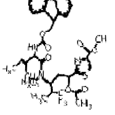 CCC(C)C(NC(=O)OCC1c2ccccc2-c2ccccc21)C(=O)N(C)C(CC(OC(C)=O)c1nc(C(=O)OC)cs1)C(C)C